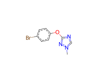 Cn1cnc(Oc2ccc(Br)cc2)n1